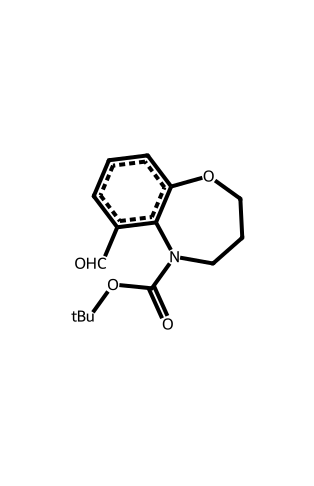 CC(C)(C)OC(=O)N1CCCOc2cccc(C=O)c21